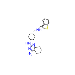 CN(C)c1nc(N[C@H]2CC[C@@H](CNCc3csc4ccccc34)CC2)nc2c1CCCC2